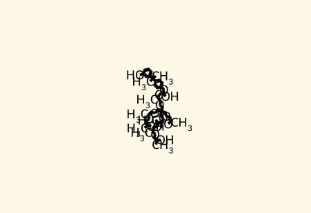 CC(O)COCC(COCC(C)OCC(C)O)(COCC(C)OCC(C)OCC(C)O)COCC(C)OC(O)Oc1ccc(C(C)(C)c2cccc(O)c2)cc1